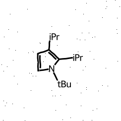 CC(C)c1ccn(C(C)(C)C)c1C(C)C